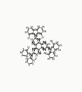 Cc1cccc2c3cccc(C)c3n(-c3cnc4c(n3)c3ncc(-n5c6c(C)cccc6c6cccc(C)c65)nc3c3ncc(-n5c6c(C)cccc6c6cccc(C)c65)nc43)c12